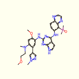 COCCN(C)c1cc(OC)c(Nc2nc(Nc3ccc4nccnc4c3P(C)(C)=O)c3cc[nH]c3n2)cc1-c1cnn(C)c1